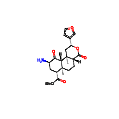 COC(=O)[C@@H]1C[C@@H](N)C(=O)[C@H]2[C@@]1(C)CC[C@H]1C(=O)O[C@@H](c3ccoc3)C[C@]21C